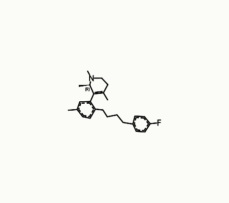 CC1=C(c2cc(C)ccc2CCCCc2ccc(F)cc2)[C@@H](C)N(C)CC1